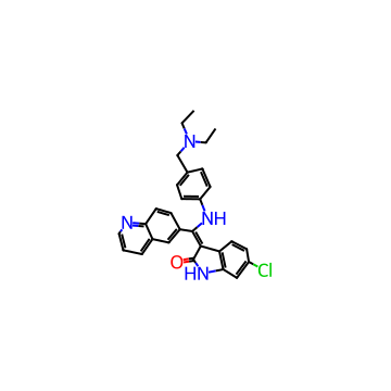 CCN(CC)Cc1ccc(NC(=C2C(=O)Nc3cc(Cl)ccc32)c2ccc3ncccc3c2)cc1